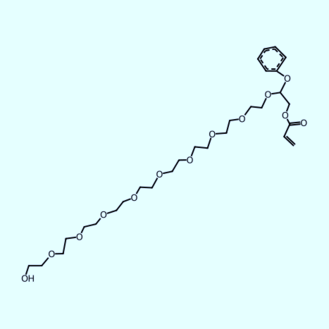 C=CC(=O)OCC(OCCOCCOCCOCCOCCOCCOCCOCCOCCO)Oc1ccccc1